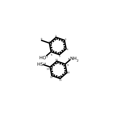 Cc1ccccc1O.Nc1cccc(S)c1